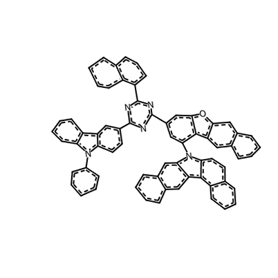 c1ccc(-n2c3ccccc3c3cc(-c4nc(-c5cc(-n6c7cc8ccccc8cc7c7c8ccccc8ccc76)c6c(c5)oc5cc7ccccc7cc56)nc(-c5cccc6ccccc56)n4)ccc32)cc1